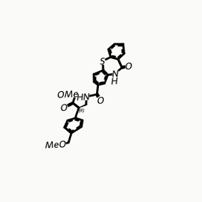 COCc1ccc([C@H](CNC(=O)c2ccc3c(c2)NC(=O)c2ccccc2S3)C(=O)OC)cc1